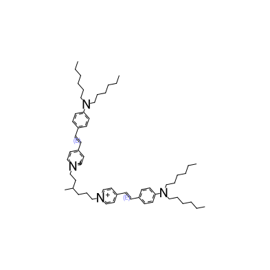 CCCCCCN(CCCCCC)c1ccc(/C=C/c2cc[n+](CCCC(C)CC[n+]3ccc(/C=C/c4ccc(N(CCCCCC)CCCCCC)cc4)cc3)cc2)cc1